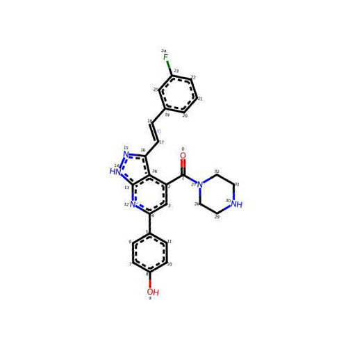 O=C(c1cc(-c2ccc(O)cc2)nc2[nH]nc(/C=C/c3cccc(F)c3)c12)N1CCNCC1